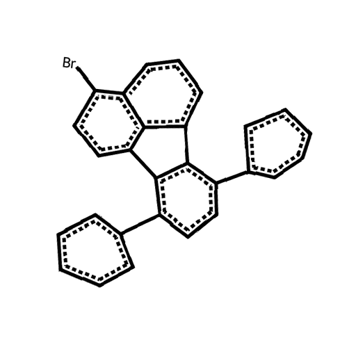 Brc1ccc2c3c(cccc13)-c1c(-c3ccccc3)ccc(-c3ccccc3)c1-2